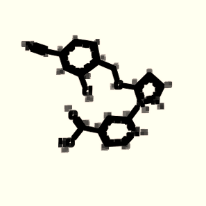 N#Cc1ccc(COc2ccnn2-c2cc(C(=O)O)ccn2)c(Cl)c1